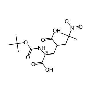 CC(C)(C)OC(=O)N[C@@H](CC(CC(C)(C)[N+](=O)[O-])C(=O)O)C(=O)O